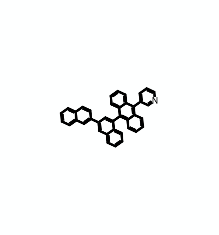 c1cncc(-c2c3ccccc3c(-c3cc(-c4ccc5ccccc5c4)cc4ccccc34)c3ccccc23)c1